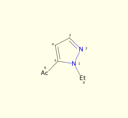 CCn1nccc1C(C)=O